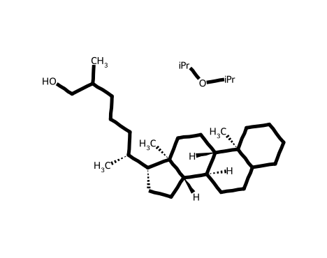 CC(C)OC(C)C.CC(CO)CCC[C@@H](C)[C@H]1CC[C@H]2[C@@H]3CCC4CCCC[C@]4(C)[C@H]3CC[C@]12C